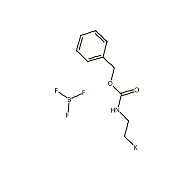 FB(F)F.O=C(NC[CH2][K])OCc1ccccc1